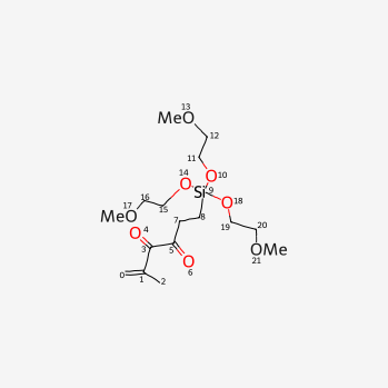 C=C(C)C(=O)C(=O)CC[Si](OCCOC)(OCCOC)OCCOC